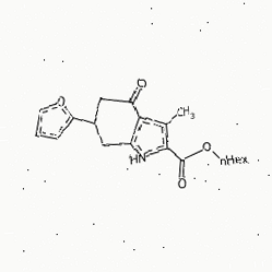 CCCCCCOC(=O)c1[nH]c2c(c1C)C(=O)CC(c1ccco1)C2